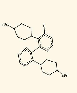 CCCC1CCC(c2ccccc2-c2cccc(F)c2C2CCC(CCC)CC2)CC1